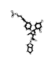 Cc1c(C(=O)NN2CC3CCCC3C2)nc(-c2ccc(Cl)cc2Cl)n1-c1ccc(C#CCCO[N+](=O)[O-])cc1